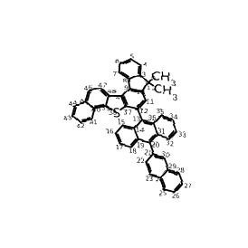 CC1(C)c2ccccc2-c2c1cc(-c1c3ccccc3c(-c3ccc4ccccc4c3)c3ccccc13)c1sc3c4ccccc4ccc3c21